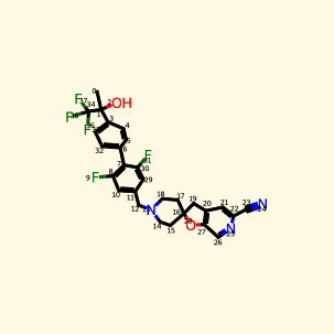 CC(O)(c1ccc(-c2c(F)cc(CN3CCC4(CC3)Cc3cc(C#N)ncc3O4)cc2F)cc1)C(F)(F)F